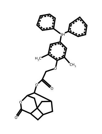 Cc1cc([SH](c2ccccc2)c2ccccc2)cc(C)c1OCC(=O)OC1C2CC3CC4C(=O)OC1CC34C2